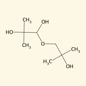 CC(C)(O)COC(O)C(C)(C)O